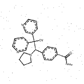 CNC(=O)c1ccc(C(N2CCCC2)C(O)(c2cccnc2)c2cccnc2)cc1